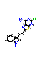 Nc1nc(Cl)nc2sc(CCc3c[nH]c4ccccc34)nc12